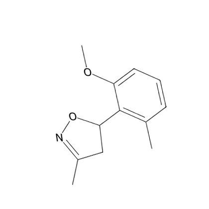 COc1cccc(C)c1C1CC(C)=NO1